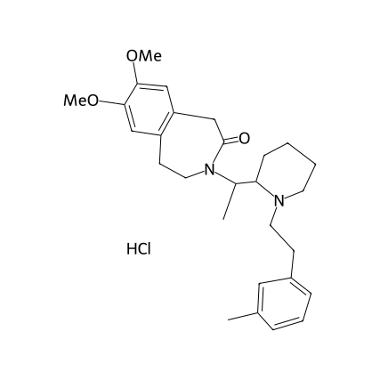 COc1cc2c(cc1OC)CC(=O)N(C(C)C1CCCCN1CCc1cccc(C)c1)CC2.Cl